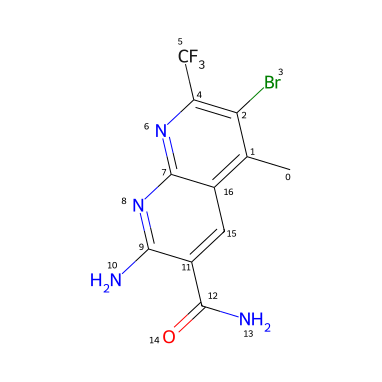 Cc1c(Br)c(C(F)(F)F)nc2nc(N)c(C(N)=O)cc12